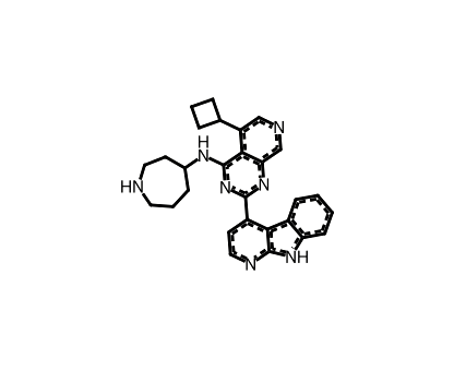 c1ccc2c(c1)[nH]c1nccc(-c3nc(NC4CCCNCC4)c4c(C5CCC5)cncc4n3)c12